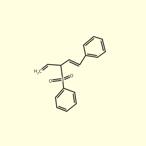 C=CC(C=Cc1ccccc1)S(=O)(=O)c1ccccc1